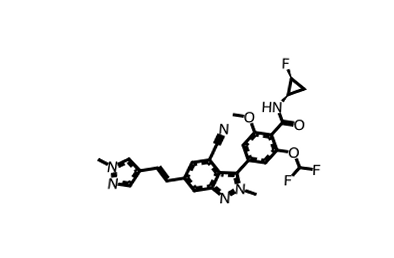 COc1cc(-c2c3c(C#N)cc(/C=C/c4cnn(C)c4)cc3nn2C)cc(OC(F)F)c1C(=O)N[C@@H]1C[C@@H]1F